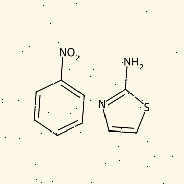 Nc1nccs1.O=[N+]([O-])c1ccccc1